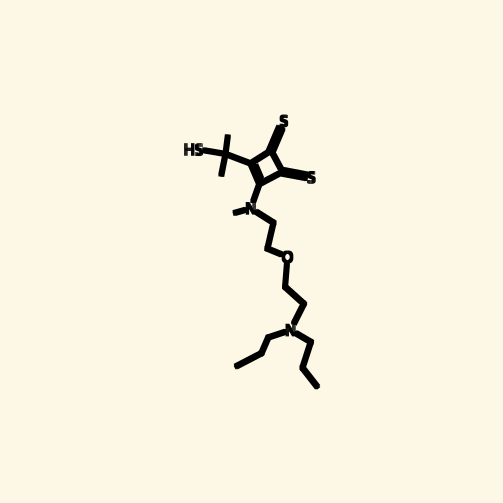 CCCN(CCC)CCOCCN(C)c1c(C(C)(C)S)c(=S)c1=S